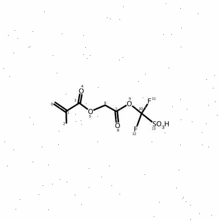 C=C(C)C(=O)OCC(=O)OC(F)(F)S(=O)(=O)O